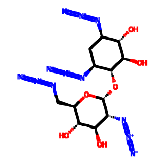 [N-]=[N+]=NC[C@H]1O[C@H](O[C@H]2[C@H](O)[C@@H](O)[C@H](N=[N+]=[N-])C[C@@H]2N=[N+]=[N-])[C@H](N=[N+]=[N-])[C@@H](O)[C@@H]1O